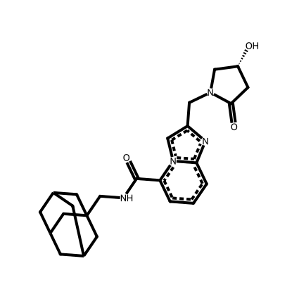 O=C(NCC12CC3CC(CC(C3)C1)C2)c1cccc2nc(CN3C[C@H](O)CC3=O)cn12